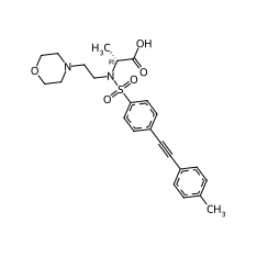 Cc1ccc(C#Cc2ccc(S(=O)(=O)N(CCN3CCOCC3)[C@H](C)C(=O)O)cc2)cc1